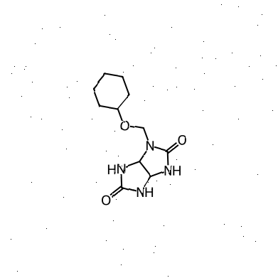 O=C1NC2NC(=O)N(COC3CCCCC3)C2N1